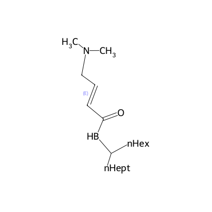 CCCCCCCC(BC(=O)/C=C/CN(C)C)CCCCCC